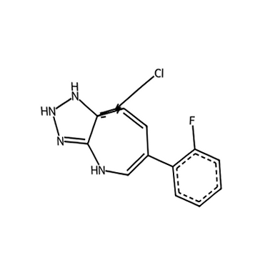 Fc1ccccc1C1=CNC2=NNNC23C=CC=C(Cl)C3=C1